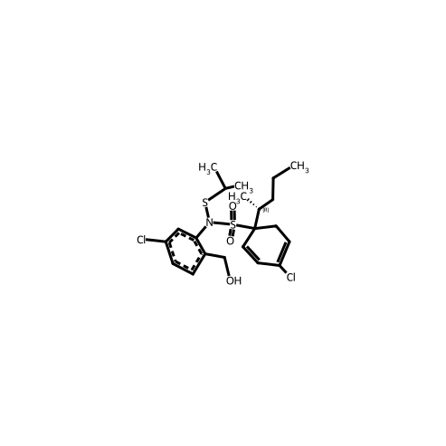 CCC[C@@H](C)C1(S(=O)(=O)N(SC(C)C)c2cc(Cl)ccc2CO)C=CC(Cl)=CC1